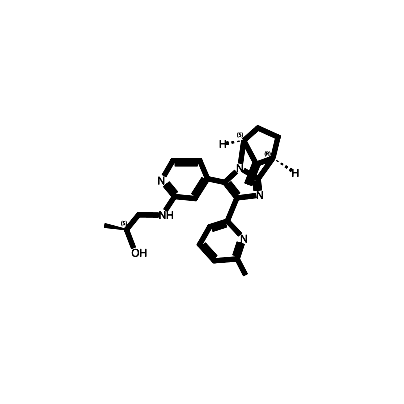 C=C1[C@H]2CC[C@@H]1n1c2nc(-c2cccc(C)n2)c1-c1ccnc(NC[C@H](C)O)c1